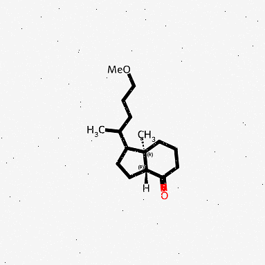 COCCCC(C)C1CC[C@H]2C(=O)CCC[C@]12C